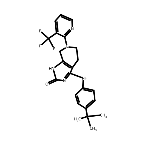 CC(C)(C)c1ccc(Nc2nc(=O)[nH]c3c2CCN(c2ncccc2C(F)(F)F)C3)cc1